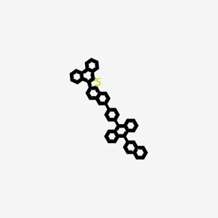 c1ccc2cc(-c3c4ccccc4c(-c4ccc(-c5ccc6c(ccc7c6sc6c8ccccc8c8ccccc8c76)c5)cc4)c4ccccc34)ccc2c1